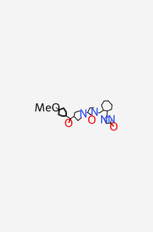 COc1ccc(C(=O)C2CCN([C@H]3CCN(CC4CCCCCC4C4=NC(=O)C=N4)C3=O)CC2)cc1